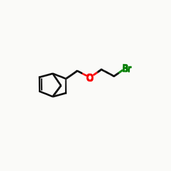 BrCCOCC1CC2C=CC1C2